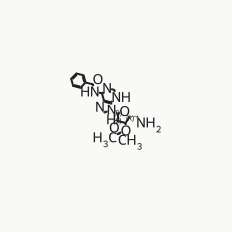 CC1(C)OC2[C@@H](CN)O[C@@H](n3cnc4c3NCN=C4NC(=O)c3ccccc3)[C@H]2O1